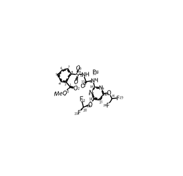 COC(=O)c1ccccc1S(=O)(=O)NC(=O)Nc1nc(OC(F)F)cc(OC(F)F)n1.[Pu]